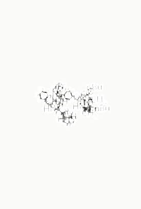 CCCCOC(=O)[C@H](C)NP(=O)(COc1ccc(S(=O)(=O)N(CC(C)C)C[C@@H](O)[C@H](Cc2ccccc2)NC(=O)O[C@H]2CO[C@H]3OCC[C@H]32)cc1)N[C@@H](C)C(=O)OCCCC